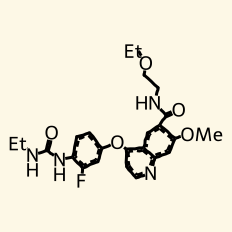 CCNC(=O)Nc1ccc(Oc2ccnc3cc(OC)c(C(=O)NCCOCC)cc23)cc1F